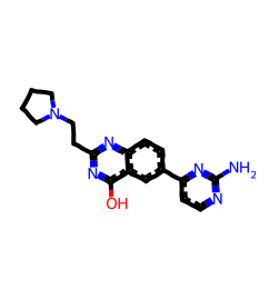 Nc1nccc(-c2ccc3nc(CCN4CCCC4)nc(O)c3c2)n1